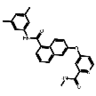 CNC(=O)c1cc(Oc2ccc3c(C(=O)Nc4cc(C)cc(C)c4)cccc3c2)ccn1